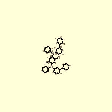 Clc1cc(N(c2ccccc2)c2cccc(-c3ccccc3)c2)c(Cl)cc1N(c1ccccc1)c1cccc(-c2ccccc2)c1